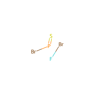 FBr.S=PBr